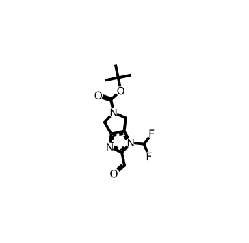 CC(C)(C)OC(=O)N1Cc2nc(C=O)n(C(F)F)c2C1